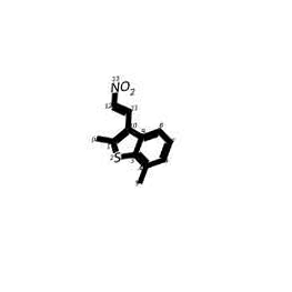 Cc1sc2c(C)cccc2c1/C=C/[N+](=O)[O-]